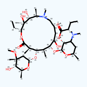 CCCC(=O)O[C@@H]1C(N(C)C)C[C@@H](C)O[C@H]1O[C@@H]1[C@@H](C)[C@H](O[C@H]2C[C@@](C)(OC)[C@@H](O)[C@H](C)O2)[C@@H](C)C(=O)O[C@H](CC)[C@@](C)(O)[C@H](O)[C@@H](C)N(C)C[C@H](C)C[C@@]1(C)O